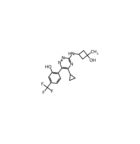 CC1(O)CC(Nc2nnc(-c3ccc(C(F)(F)F)cc3O)c(C3CC3)n2)C1